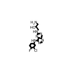 NCC(O)CNc1ncc2ncnc(Nc3ccc(F)c(Cl)c3)c2n1